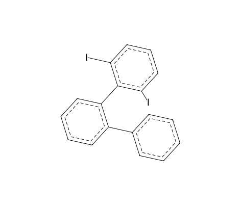 Ic1cccc(I)c1-c1ccccc1-c1ccccc1